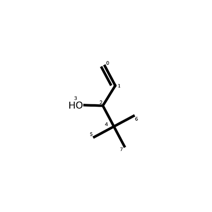 C=CC(O)C(C)(C)C